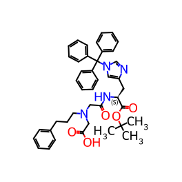 CC(C)(C)OC(=O)[C@H](Cc1cn(C(c2ccccc2)(c2ccccc2)c2ccccc2)cn1)NC(=O)CN(CCCc1ccccc1)CC(=O)O